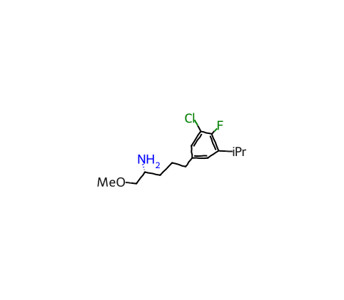 COC[C@H](N)CCCc1cc(Cl)c(F)c(C(C)C)c1